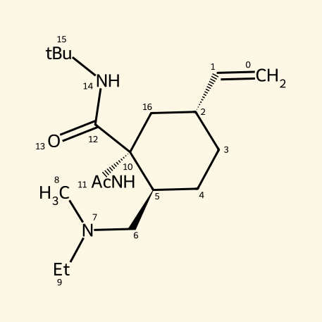 C=C[C@@H]1CC[C@@H](CN(C)CC)[C@@](NC(C)=O)(C(=O)NC(C)(C)C)C1